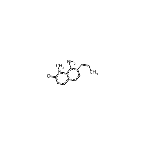 C/C=C\c1ccc2ccc(=O)n(C)c2c1N